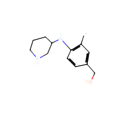 O=[N+]([O-])c1cc(CO)ccc1NC1CCCNC1